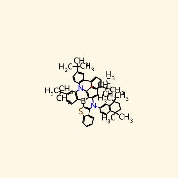 Cc1cc2c3c(c1)N(c1ccc4c(c1)C(C)(C)CCC4(C)C)c1c(sc4ccccc14)B3c1ccc(C(C)(C)C)cc1N2c1ccc(C(C)(C)C)cc1-c1ccc(C(C)(C)C)cc1